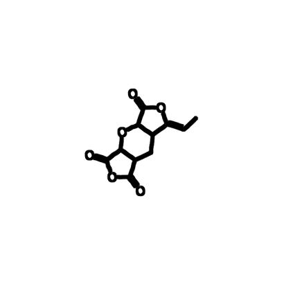 CC=C1OC(=O)C2OC3C(=O)OC(=O)C3CC12